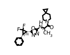 C[C@H](Nc1nnc([C@@H]2[C@H](c3ccccc3)C2(F)F)o1)C(=O)N1CCC2(CC1)CC2